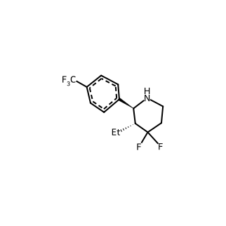 CC[C@@H]1[C@@H](c2ccc(C(F)(F)F)cc2)NCCC1(F)F